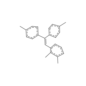 Cc1ccc(C(=Cc2cccc(C)c2C)c2ccc(C)cc2)cc1